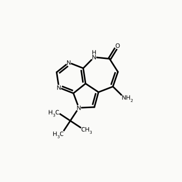 CC(C)(C)n1cc2c3c(ncnc31)NC(=O)C=C2N